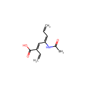 BC(=O)NC(=C/C=C)/C=C(\C=C)C(=O)O